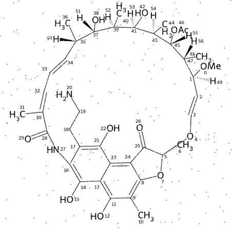 CO[C@H]1/C=C/O[C@@]2(C)Oc3c(C)c(O)c4c(O)c(c(CCN)c(O)c4c3C2=O)NC(=O)/C(C)=C\C=C\[C@H](C)[C@H](O)[C@@H](C)[C@@H](O)[C@@H](C)[C@H](OC(C)=O)[C@@H]1C